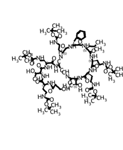 CC(C)C[C@@H]1NC(=O)[C@@H](Cc2ccccc2)NC(=O)[C@H](CCNC(=O)OC(C)(C)C)NC[C@@H](NC(=O)[C@H](CCNC(=O)OC(C)(C)C)NC(=O)[C@@H](NC(=O)[C@H](CCNC(=O)OC(C)(C)C)NC(=O)CCO)C(C)O)CCNC(=O)[C@H]([C@H](C)O)NC(=O)[C@H](CCNC(=O)OC(C)(C)C)NC(=O)[C@H](CCNC(=O)OC(C)(C)C)NC1=O